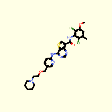 COc1cc(C)c(Cl)c(NC(=O)c2csc3c(Nc4ccc(COCCN5CCCCC5)cn4)ncnc23)c1Cl